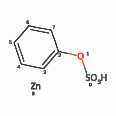 O=S(=O)(O)Oc1ccccc1.[Zn]